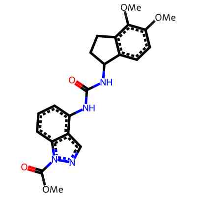 COC(=O)n1ncc2c(NC(=O)NC3CCc4c3ccc(OC)c4OC)cccc21